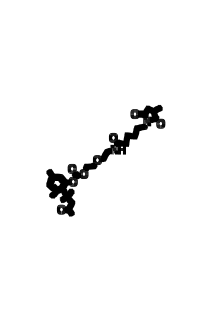 CC(=O)CC(C)(C)c1c(C)cc(C)cc1OC(=O)OCCOCCNC(=O)CCCCCN1C(=O)CC(C)C1=O